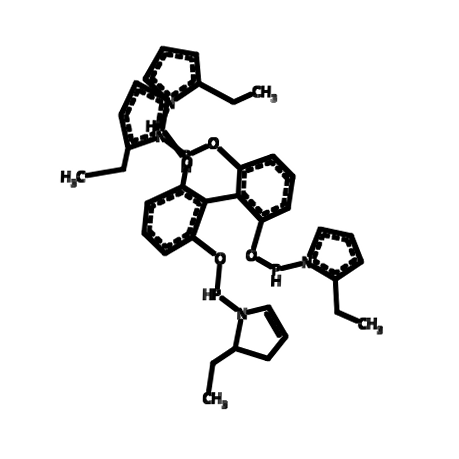 CCc1cccn1POc1cccc(OPN2C=CCC2CC)c1-c1c(OPn2cccc2CC)cccc1OPn1cccc1CC